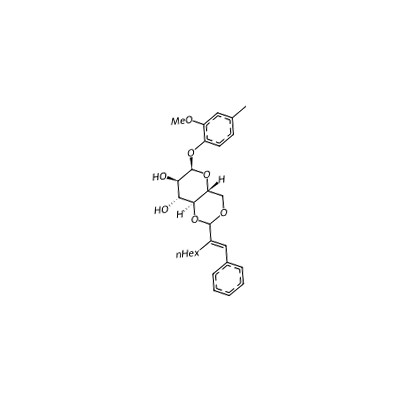 CCCCCCC(=Cc1ccccc1)C1OC[C@H]2O[C@H](Oc3ccc(C)cc3OC)[C@H](O)[C@@H](O)[C@@H]2O1